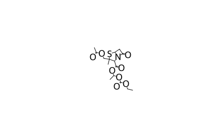 CCOC(=O)OC(C)OC(=O)C1N2C(=O)CC2SC1(C)COC(C)=O